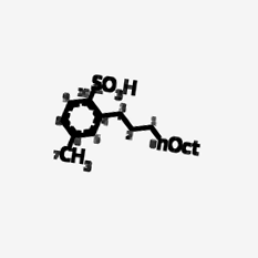 [CH2]CCCCCCCCC[CH]c1cc(C)ccc1S(=O)(=O)O